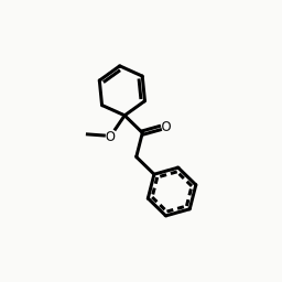 COC1(C(=O)Cc2ccccc2)C=CC=CC1